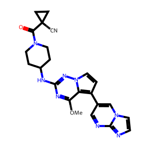 COc1nc(NC2CCN(C(=O)C3(C#N)CC3)CC2)nn2ccc(-c3cnc4nccn4c3)c12